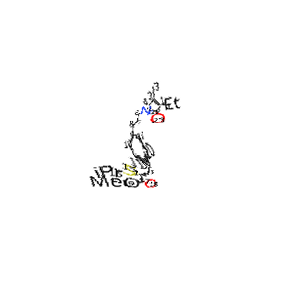 CCC1=C(C)CN(CCCc2ccc(CC(SC(C)C)C(=O)OC)cc2)C1=O